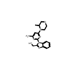 CC1COCCN1c1cc(N)nc(-n2c(CO)nc3ccccc32)n1